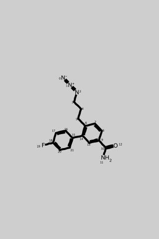 [N-]=[N+]=NCCCc1ccc(C(N)=O)cc1-c1ccc(F)cc1